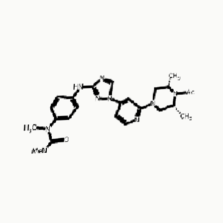 CNC(=O)N(C)c1ccc(Nc2ncn(-c3ccnc(N4C[C@@H](C)N(C(C)=O)[C@@H](C)C4)c3)n2)cc1